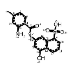 Cc1ccc(C(=O)Nc2cc(O)c3cccc(S(=O)(=O)O)c3c2)c(N)c1